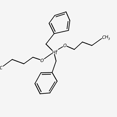 CCCC[O][Hf]([CH2]c1ccccc1)([CH2]c1ccccc1)[O]CCCC